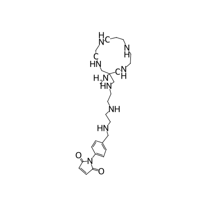 NC1(CNCCNCCNCc2ccc(N3C(=O)C=CC3=O)cc2)CNCCNCCCNCCNC1